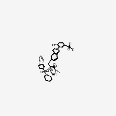 Cc1ccc(S(=O)(=O)N2CCCC[C@H]2C(=O)NC(Cc2ccc3nc(-c4cc(C(F)(F)F)ccc4Cl)ccc3c2)C(=O)O)cc1